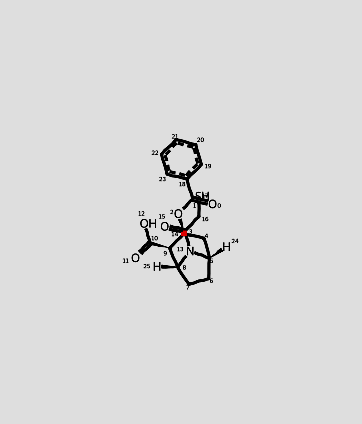 O=C(O[C@H]1C[C@@H]2CC[C@H]([C@H]1C(=O)O)N2C(=O)CS)c1ccccc1